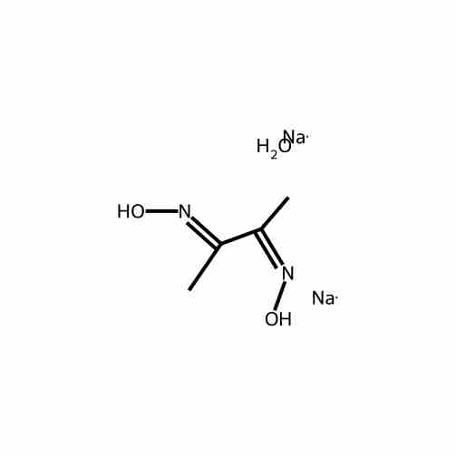 CC(=NO)C(C)=NO.O.[Na].[Na]